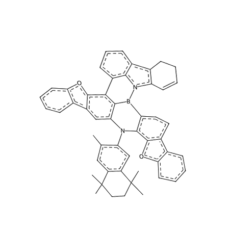 Cc1cc2c(cc1N1c3cc4c(oc5ccccc54)c4c3B(c3ccc5c(oc6ccccc65)c31)n1c3c(c5cccc-4c51)CCC=C3)C(C)(C)CCC2(C)C